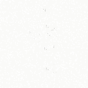 CN(C)CCCNc1nccc(-c2[nH]c(C3OCC(C)(C(=O)NC4CCCCC4)CO3)nc2-c2ccc(F)cc2)n1